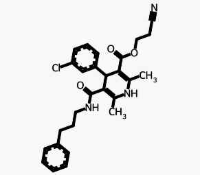 CC1=C(C(=O)NCCCc2ccccc2)C(c2cccc(Cl)c2)C(C(=O)OCCC#N)=C(C)N1